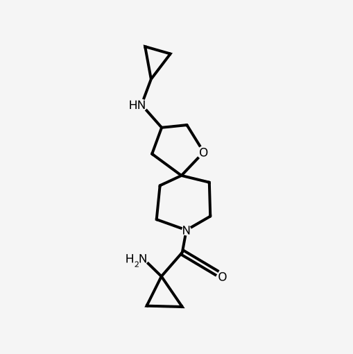 NC1(C(=O)N2CCC3(CC2)CC(NC2CC2)CO3)CC1